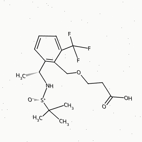 C[C@@H](N[S@@+]([O-])C(C)(C)C)c1cccc(C(F)(F)F)c1COCCC(=O)O